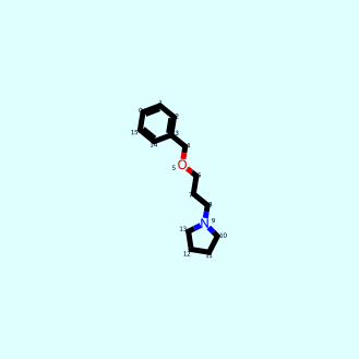 c1ccc(COCCCN2CCCC2)cc1